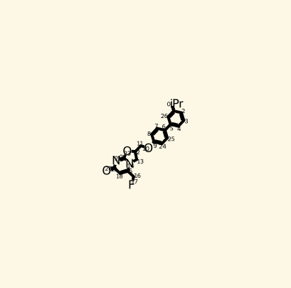 CC(C)c1cccc(-c2ccc(OCC3Cn4c(CF)cc(=O)nc4O3)cc2)c1